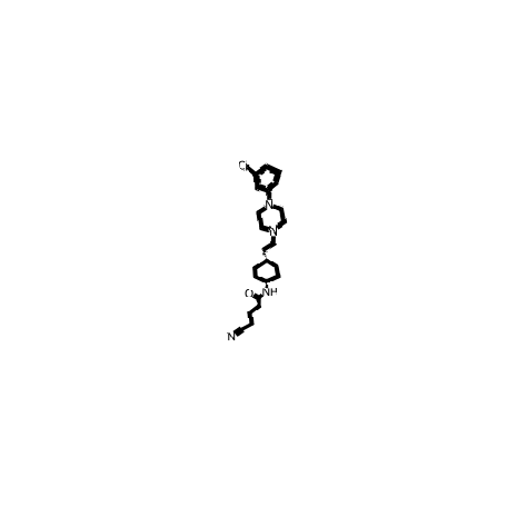 N#CCCCC(=O)N[C@H]1CC[C@H](CCN2CCN(c3cccc(Cl)c3)CC2)CC1